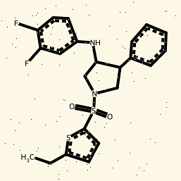 CCc1ccc(S(=O)(=O)N2CC(Nc3ccc(F)c(F)c3)C(c3ccccc3)C2)s1